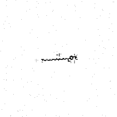 CCCCCCCCCCCCCCCCC1CNc2cc(C(=O)O)ccc21.Cl